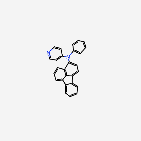 c1ccc(N(c2ccncc2)c2ccc3c4c(cccc24)-c2ccccc2-3)cc1